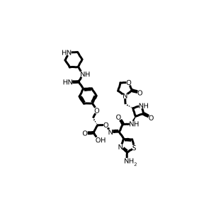 N=C(NC1CCNCC1)c1ccc(OC[C@H](ON=C(C(=O)N[C@@H]2C(=O)N[C@H]2CN2CCOC2=O)c2csc(N)n2)C(=O)O)cc1